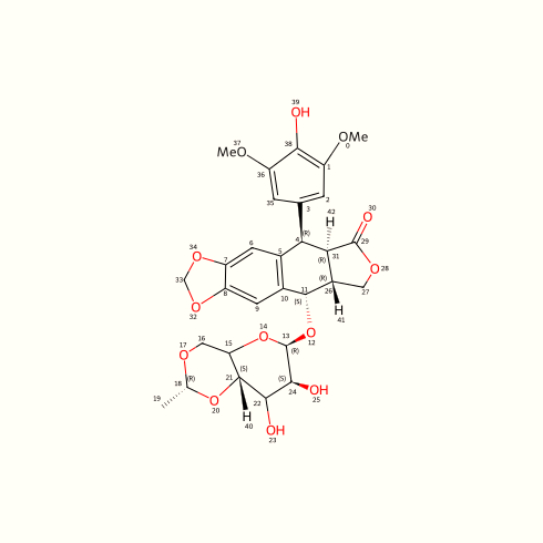 COc1cc([C@@H]2c3cc4c(cc3[C@@H](O[C@@H]3OC5CO[C@@H](C)O[C@H]5C(O)[C@@H]3O)[C@H]3COC(=O)[C@H]23)OCO4)cc(OC)c1O